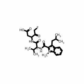 CC(C)Cc1c(C(=O)N[C@H](C(=O)NC(CC(=O)O)C(=O)CF)C(C)C)n(C)c2ccccc12